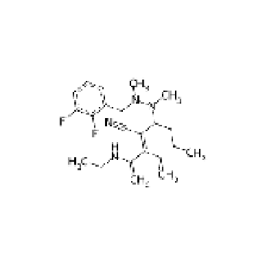 C=C/C(C(=C)NCC)=C(/C#N)C(CCC)N(C)N(C)Cc1cccc(F)c1F